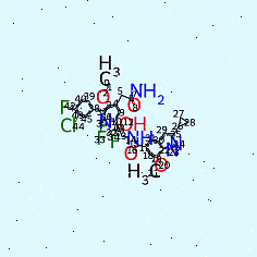 CCOc1c(CC(N)=O)cc([C@@](O)(CNC(=O)c2cc(OC)c3nnc(C4CC4)cc3c2)C(F)(F)F)nc1-c1ccc(F)c(Cl)c1